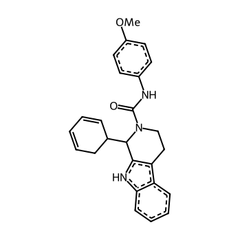 COc1ccc(NC(=O)N2CCc3c([nH]c4ccccc34)C2C2C=CC=CC2)cc1